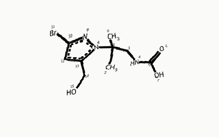 CC(C)(CNC(=O)O)n1nc(Br)cc1CO